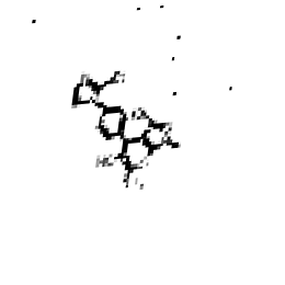 CCc1nccn1-c1ccc(C2C(C#N)=C(N)Oc3c2c(C(C)(C)C)nn3C)cc1